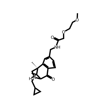 COCCOCC(=O)NCc1ccc2c(c1)[C@]1(C)CN(CC3CC3)C(C2=O)[C@@H]1C